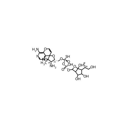 C[C@@]1(O)[C@H](N)[C@@H](COP(=O)(S)OP(=O)(O)OC2OC3(O)C2C(O)C(O)C3[C@@H](F)CO)OC12C=COc1c(N)ncnc12